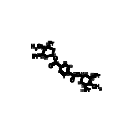 CC(C)C1CC(OC(=O)c2ccc(C(=O)OC3CC(C(C)C)N(C)C(C(C)C)C3)cc2)CC(C(C)C)N1C